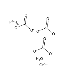 O.O=C([O-])[O-].O=C([O-])[O-].O=C([O-])[O-].[Ce+3].[PH6+3]